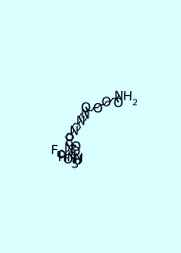 NC(=O)CCOCCOCCC(=O)N1CCN(C2CCN(c3ccc4c(c3)C(=O)N(C(C(=O)Nc3nccs3)c3cc(F)ccc3O)C4)CC2)CC1